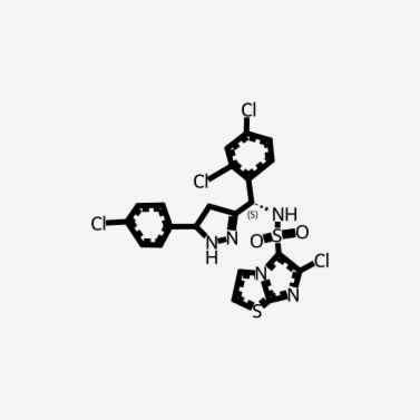 O=S(=O)(N[C@H](C1=NNC(c2ccc(Cl)cc2)C1)c1ccc(Cl)cc1Cl)c1c(Cl)nc2sccn12